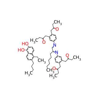 CCCCCCC(C=Nc1ccc(CC(=O)CC)c(CC(=O)CC)c1)=Nc1ccc(CC(=O)CC)c(CC(=O)CC)c1.CCCCc1ccc2c(O)c(O)ccc2c1CC